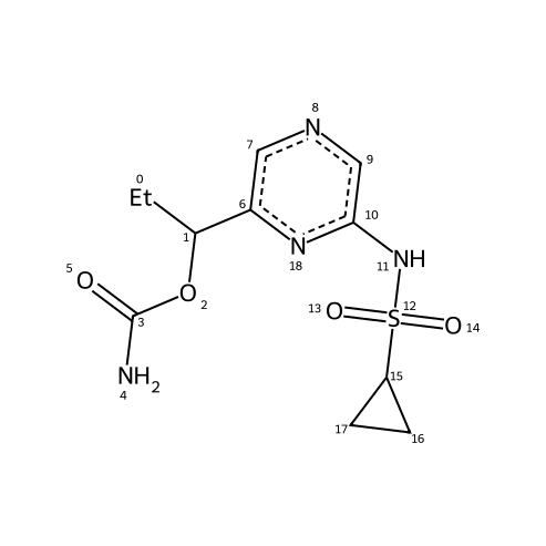 CCC(OC(N)=O)c1cncc(NS(=O)(=O)C2CC2)n1